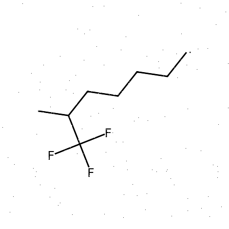 [CH2]CCCCC(C)C(F)(F)F